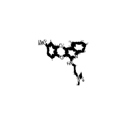 COc1ccc2c(c1)Oc1c(c(NCCN(C)C)nc3ccccc13)O2